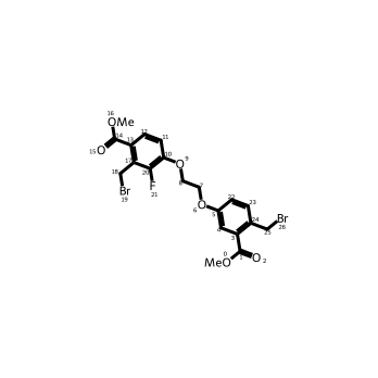 COC(=O)c1cc(OCCOc2ccc(C(=O)OC)c(CBr)c2F)ccc1CBr